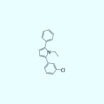 CCn1c(-c2ccccc2)ccc1-c1cccc(Cl)c1